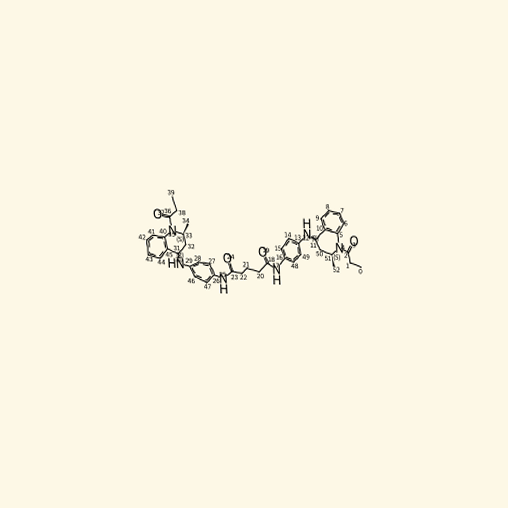 CCC(=O)N1c2ccccc2[C@H](Nc2ccc(NC(=O)CCCC(=O)Nc3ccc(N[C@@H]4C[C@H](C)N(C(=O)CC)c5ccccc54)cc3)cc2)C[C@@H]1C